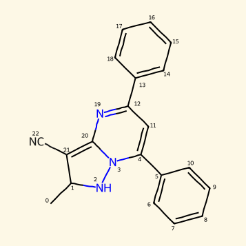 CC1NN2C(c3ccccc3)=CC(c3ccccc3)=NC2=C1C#N